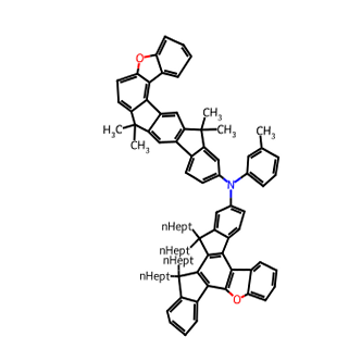 CCCCCCCC1(CCCCCCC)c2ccccc2-c2c1c1c(c3c2oc2ccccc23)-c2ccc(N(c3cccc(C)c3)c3ccc4c(c3)C(C)(C)c3cc5c(cc3-4)C(C)(C)c3ccc4oc6ccccc6c4c3-5)cc2C1(CCCCCCC)CCCCCCC